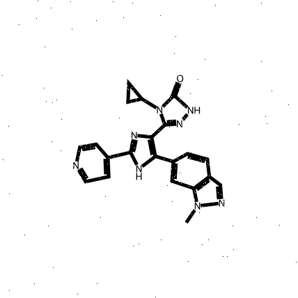 Cn1ncc2ccc(-c3[nH]c(-c4ccncc4)nc3-c3n[nH]c(=O)n3C3CC3)cc21